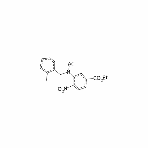 CCOC(=O)c1ccc([N+](=O)[O-])c(N(Cc2ccccc2C)C(C)=O)c1